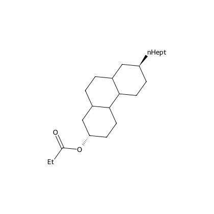 CCCCCCC[C@H]1CCC2C(CCC3C[C@@H](OC(=O)CC)CCC32)C1